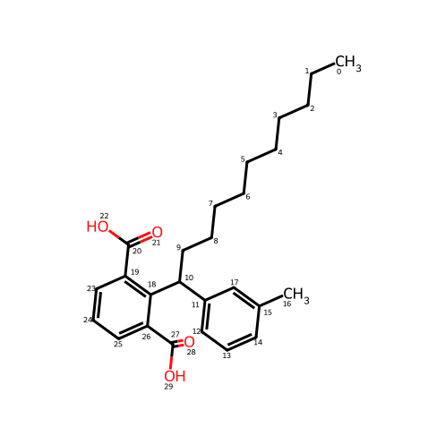 CCCCCCCCCCC(c1cccc(C)c1)c1c(C(=O)O)cccc1C(=O)O